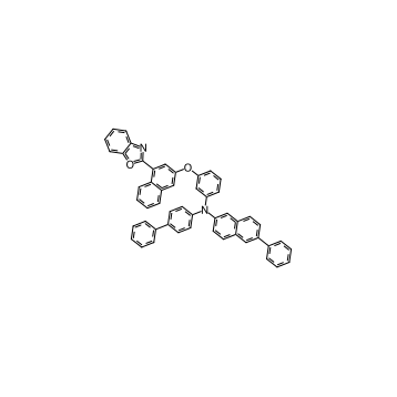 c1ccc(-c2ccc(N(c3cccc(Oc4cc(-c5nc6ccccc6o5)c5ccccc5c4)c3)c3ccc4cc(-c5ccccc5)ccc4c3)cc2)cc1